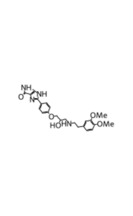 COc1ccc(CCNCC(O)COc2ccc(-c3nc(C(N)=O)c[nH]3)cc2)cc1OC